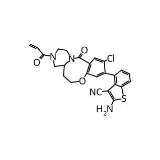 C=CC(=O)N1CCN2C(=O)c3cc(Cl)c(-c4cccc5sc(N)c(C#N)c45)cc3OCCC2C1